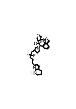 O=C(O)C(c1cccc2cnn(C3CCOC3)c12)N1CCC(CC(F)(F)CCCc2ccc3c(n2)NCCC3)C1